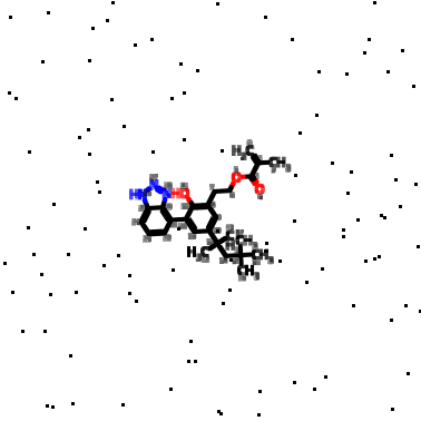 C=C(C)C(=O)OCCc1cc(C(C)(C)CC(C)(C)C)cc(-c2cccc3[nH]nnc23)c1O